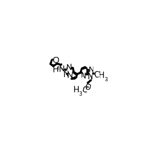 COCCn1c(C)nc2ccc(-c3ccn4nc(NCC5CCCO5)ncc34)nc21